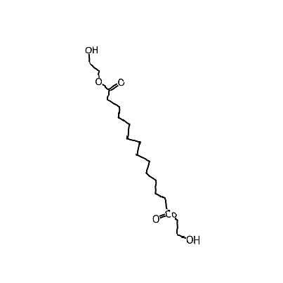 O=C(CCCCCCCCCCC[CH2][Co](=[O])[CH2]CO)OCCO